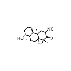 [C-]#[N+]C1C[C@]2(C)C3=CCC[C@@H](O)[C@]3(C)CC[C@H]2C(C)(C)C1=O